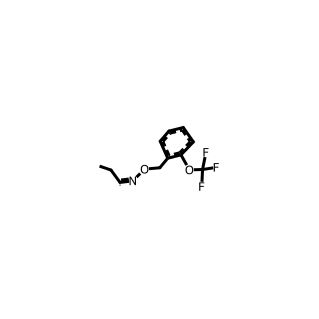 CC/[C]=N\OCc1ccccc1OC(F)(F)F